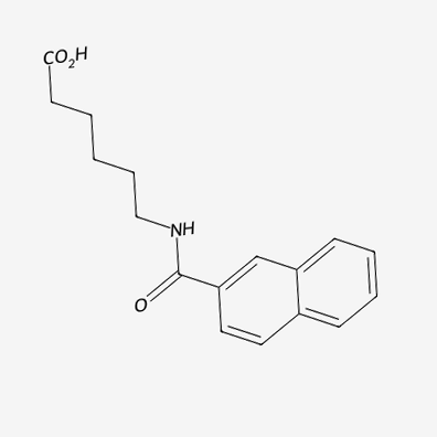 O=C(O)CCCCCNC(=O)c1ccc2ccccc2c1